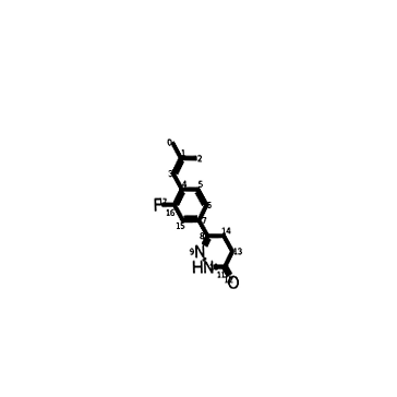 CC(C)=Cc1ccc(C2=NNC(=O)CC2)cc1F